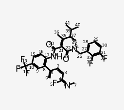 C=C(/C=C\C(F)=N/C)c1cc(C(F)(F)F)ccc1NC(=O)/C(C(=O)N(C)Cc1cccc(F)c1F)=C(\C)C(C)C(C)C